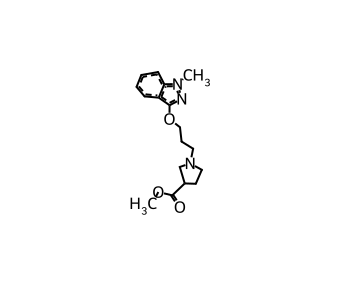 COC(=O)C1CCN(CCCOc2nn(C)c3ccccc23)C1